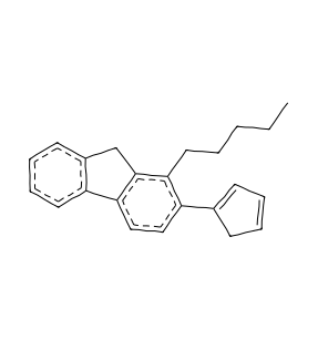 CCCCCc1c(C2=CC=CC2)ccc2c1Cc1ccccc1-2